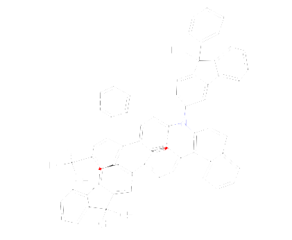 CC(C)(C)c1ccc(-c2ccc(N(c3ccc4c(c3)-c3ccccc3C4(C)c3ccccc3)c3ccc4ccccc4c3-c3ccc(-c4ccc5c(c4)C(C)(C)c4ccccc4-5)cc3)cc2-c2ccccc2)cc1